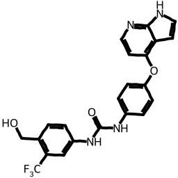 O=C(Nc1ccc(Oc2ccnc3[nH]ccc23)cc1)Nc1ccc(CO)c(C(F)(F)F)c1